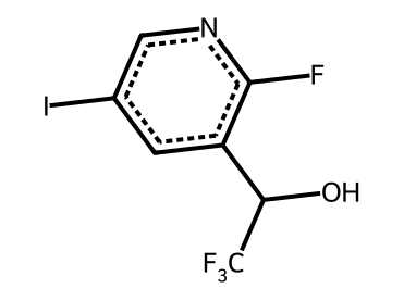 OC(c1cc(I)cnc1F)C(F)(F)F